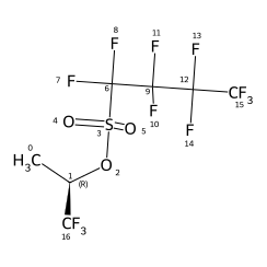 C[C@@H](OS(=O)(=O)C(F)(F)C(F)(F)C(F)(F)C(F)(F)F)C(F)(F)F